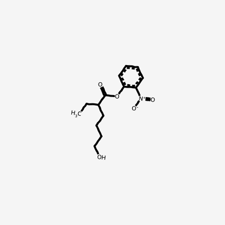 CCC(CCCCO)C(=O)Oc1ccccc1[N+](=O)[O-]